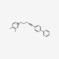 Cc1cc[n+](CCCC#Cc2ccc(-c3ccccc3)cc2)cc1C